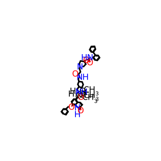 CC(C)(C)[Si](C)(C)O[C@H](CNCC1CCCC(CNC(=O)CCN2CCC(OC(=O)Nc3ccccc3-c3ccccc3)CC2)C1)c1ccc(OCc2ccccc2)c2[nH]c(=O)ccc12